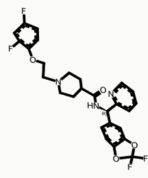 O=C(N[C@H](c1ccc2c(c1)OC(F)(F)O2)c1ccccn1)C1CCN(CCOc2ccc(F)cc2F)CC1